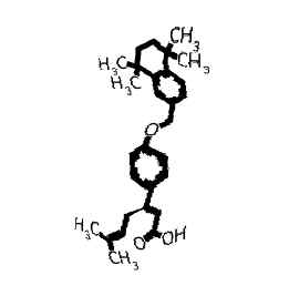 CC(C)=CC[C@H](CC(=O)O)c1ccc(OCc2ccc3c(c2)C(C)(C)CCC3(C)C)cc1